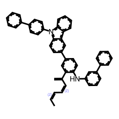 C=C(/C=C\C=C/C)c1cc(-c2ccc3c(c2)c2ccccc2n3-c2ccc(-c3ccccc3)cc2)ccc1Nc1cccc(-c2ccccc2)c1